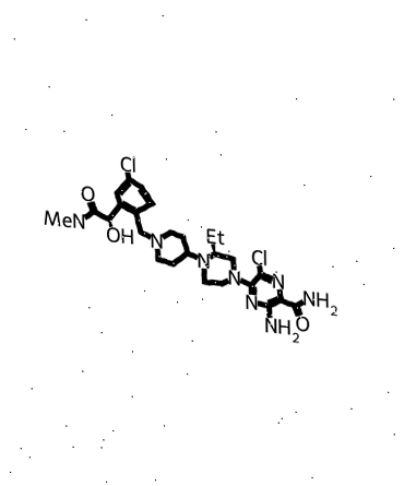 CC[C@H]1CN(c2nc(N)c(C(N)=O)nc2Cl)CCN1C1CCN(Cc2ccc(Cl)cc2[C@@H](O)C(=O)NC)CC1